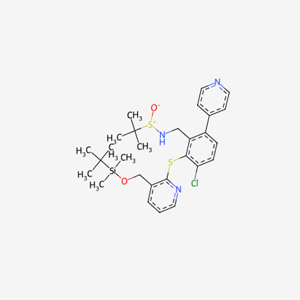 CC(C)(C)[S+]([O-])NCc1c(-c2ccncc2)ccc(Cl)c1Sc1ncccc1CO[Si](C)(C)C(C)(C)C